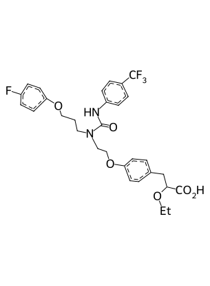 CCOC(Cc1ccc(OCCN(CCCOc2ccc(F)cc2)C(=O)Nc2ccc(C(F)(F)F)cc2)cc1)C(=O)O